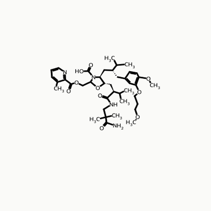 COCCCOc1cc(C[C@H](C[C@H]2[C@H](C[C@H](C(=O)NCC(C)(C)C(N)=O)C(C)C)OC(COC(=O)c3ncccc3C)N2C(=O)O)C(C)C)ccc1OC